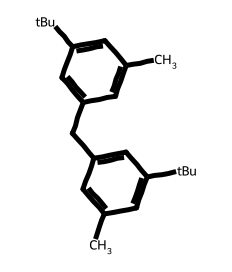 Cc1cc(Cc2cc(C)cc(C(C)(C)C)c2)cc(C(C)(C)C)c1